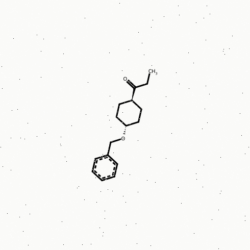 CCC(=O)[C@H]1CC[C@H](OCc2ccccc2)CC1